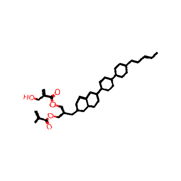 C=C(C)C(=O)OCC(COC(=O)C(=C)CO)CC1CCC2CC(C3CCC(C4CCC(CCCCC)CC4)CC3)CCC2C1